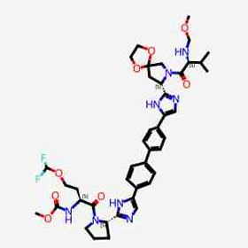 COCN[C@H](C(=O)N1CC2(C[C@H]1c1ncc(-c3ccc(-c4ccc(-c5cnc([C@@H]6CCCN6C(=O)[C@H](CCOC(F)F)NC(=O)OC)[nH]5)cc4)cc3)[nH]1)OCCO2)C(C)C